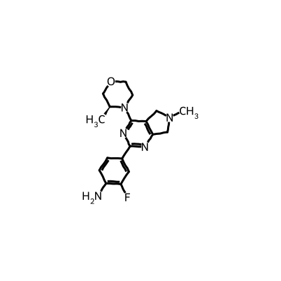 C[C@H]1COCCN1c1nc(-c2ccc(N)c(F)c2)nc2c1CN(C)C2